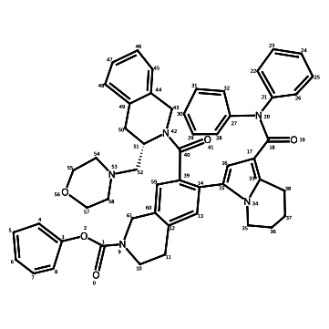 O=C(Oc1ccccc1)N1CCc2cc(-c3cc(C(=O)N(c4ccccc4)c4ccccc4)c4n3CCCC4)c(C(=O)N3Cc4ccccc4C[C@H]3CN3CCOCC3)cc2C1